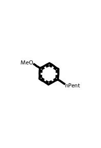 C[CH]CCCc1ccc(OC)cc1